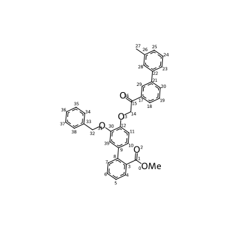 COC(=O)c1ccccc1-c1ccc(OCC(=O)c2cccc(-c3cccc(C)c3)c2)c(OCc2ccccc2)c1